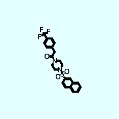 O=C(Cc1ccc(C(F)(F)F)cc1)N1CCN(S(=O)(=O)c2ccc3ccccc3c2)CC1